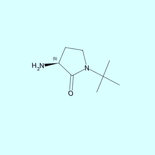 CC(C)(C)N1CC[C@H](N)C1=O